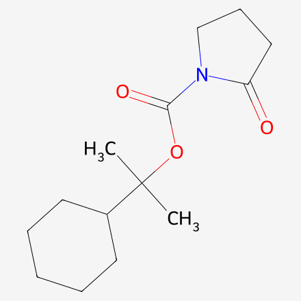 CC(C)(OC(=O)N1CCCC1=O)C1CCCCC1